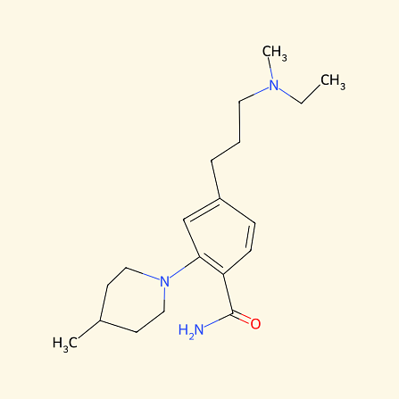 CCN(C)CCCc1ccc(C(N)=O)c(N2CCC(C)CC2)c1